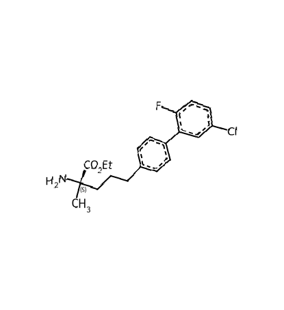 CCOC(=O)[C@@](C)(N)CCCc1ccc(-c2cc(Cl)ccc2F)cc1